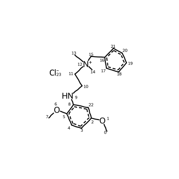 COc1ccc(OC)c(NCC[N+](C)(C)Cc2ccccc2)c1.[Cl-]